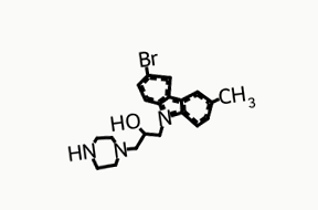 Cc1ccc2c(c1)c1cc(Br)ccc1n2CC(O)CN1CCNCC1